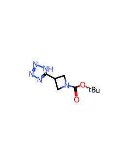 CC(C)(C)OC(=O)N1CC(c2nnn[nH]2)C1